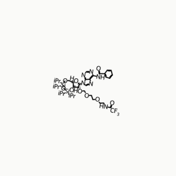 CC(C)[Si]1(C(C)C)OC[C@H]2O[C@@H](n3cnc4c(NC(=O)c5ccccc5)ncnc43)[C@H](OCOCCOCCNC(=O)C(F)(F)F)[C@@H]2O[Si](C(C)C)(C(C)C)O1